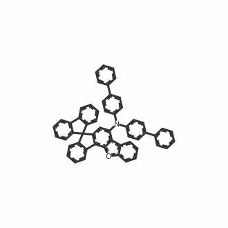 c1ccc(-c2ccc(N(c3ccc(-c4ccccc4)cc3)c3cc4c(c5oc6ccccc6c35)-c3ccccc3C43c4ccccc4-c4ccccc43)cc2)cc1